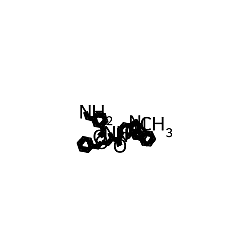 CN1N=C2CCN(C(=O)C(COCc3ccccc3)NC(=O)c3cccc(CN)c3)CC2(Cc2ccccc2)C1=O